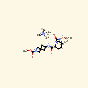 CC(C)(C)OC(=O)N1CC2(CC(NC(=O)[C@@H]3CC[C@@H]4CN3C(=O)N4OS(=O)(=O)O)C2)C1.CCCC[N+](CCCC)(CCCC)CCCC